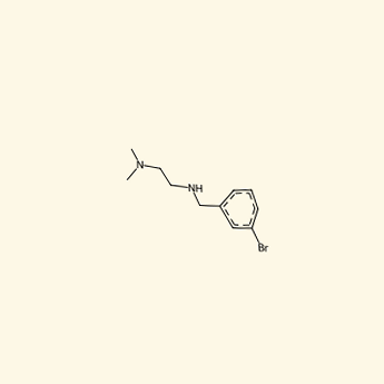 CN(C)CCNCc1cccc(Br)c1